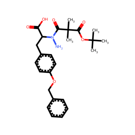 CC(C)(C)OC(=O)C(C)(C)C(=O)N(N)C(Cc1ccc(OCc2ccccc2)cc1)C(=O)O